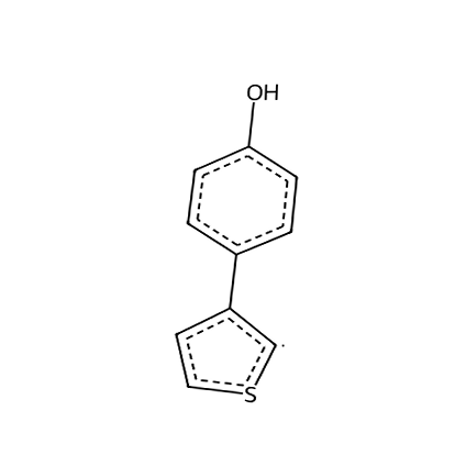 Oc1ccc(-c2[c]scc2)cc1